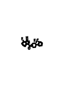 O=C(c1n[nH]c2c(F)cccc12)N1CCC(c2ccccc2C(F)(F)F)CC1